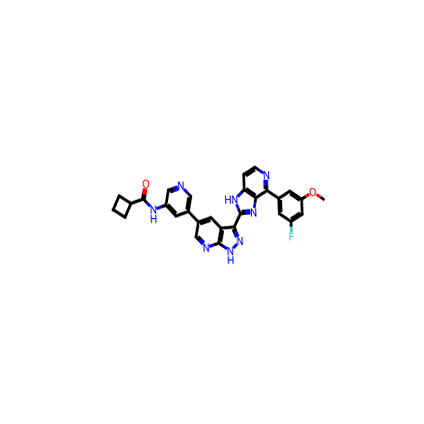 COc1cc(F)cc(-c2nccc3[nH]c(-c4n[nH]c5ncc(-c6cncc(NC(=O)C7CCC7)c6)cc45)nc23)c1